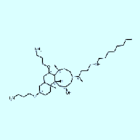 CCCCCCCCNCCC[C@@H](C)C1CC[C@H](C)C2[C@H](OCCCN)CC3C[C@H](OCCCN)CCC3(C)[C@H]2C[C@H](O)C1